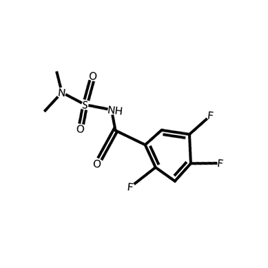 CN(C)S(=O)(=O)NC(=O)c1cc(F)c(F)cc1F